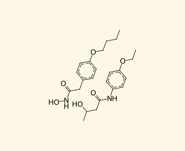 CCCCOc1ccc(CC(=O)NO)cc1.CCOc1ccc(NC(=O)CC(C)O)cc1